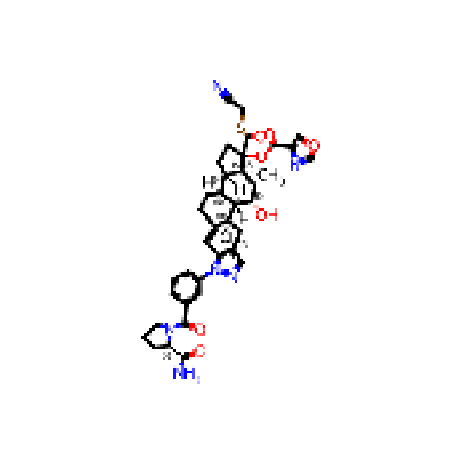 C[C@]12Cc3cnn(-c4cccc(C(=O)N5CCC[C@@H]5C(N)=O)c4)c3C=C1CC[C@@H]1[C@@H]2[C@@H](O)C[C@@]2(C)[C@H]1CC[C@]2(OC(=O)c1cocn1)C(=O)SCC#N